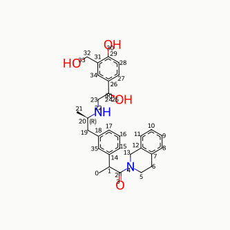 CC(C(=O)N1CCc2ccccc2C1)c1cccc(C[C@@H](C)NC[C@H](O)c2ccc(O)c(CO)c2)c1